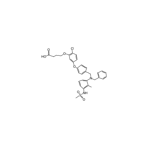 Cc1c(NS(C)(=O)=O)cccc1N(Cc1ccccc1)Cc1ccc(Oc2ccc(Cl)c(OCCCC(=O)O)c2)cc1